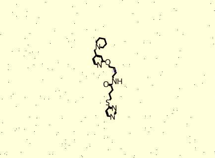 O=C(CCCSc1ccncn1)NC/C=C\COc1cc(CN2CCCCC2)ccn1